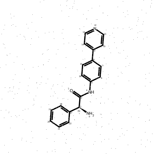 N[C@H](C(=O)Nc1ccc(-c2ccncc2)cc1)c1ccccc1